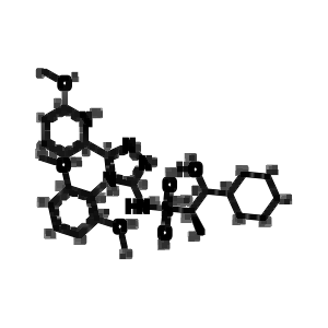 COc1cccc(-c2nnc(NS(=O)(=O)[C@H](C)C(O)C3CCCCC3)n2-c2c(OC)cccc2OC)n1